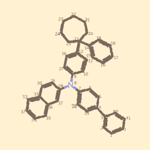 c1ccc(-c2ccc(N(c3ccc(C4(c5ccccc5)CCCCCC4)cc3)c3ccc4ccccc4c3)cc2)cc1